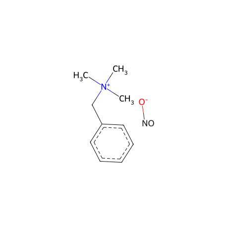 C[N+](C)(C)Cc1ccccc1.O=[NH+][O-]